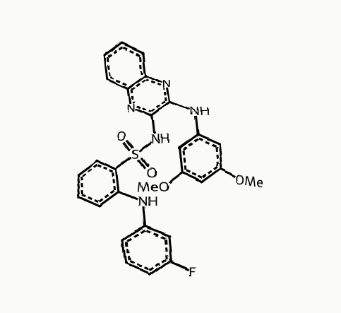 COc1cc(Nc2nc3ccccc3nc2NS(=O)(=O)c2ccccc2Nc2cccc(F)c2)cc(OC)c1